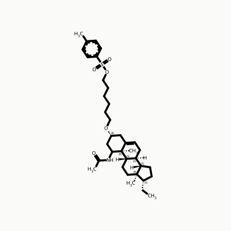 CC[C@H]1CC[C@H]2[C@@H]3CC=C4C[C@@H](OCCCCCCOS(=O)(=O)c5ccc(C)cc5)CC(NC(C)=O)[C@]4(C)[C@H]3CC[C@]12C